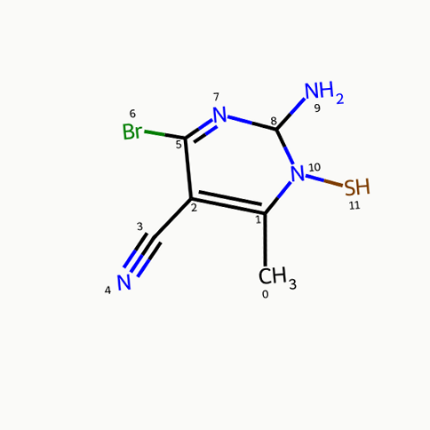 CC1=C(C#N)C(Br)=NC(N)N1S